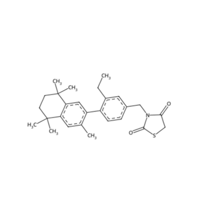 CCc1cc(CN2C(=O)CSC2=O)ccc1-c1cc2c(cc1C)C(C)(C)CCC2(C)C